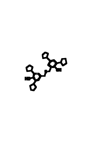 Oc1c(CSCc2cc(C3CCCC3)c(O)c(C3CCCC3)c2)cc(C2CCCC2)cc1C1CCCC1